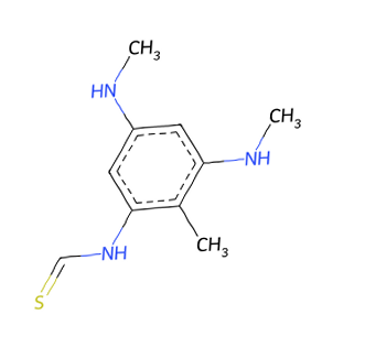 CNc1cc(NC)c(C)c(NC=S)c1